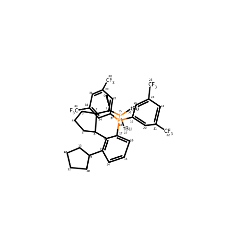 C[C@H](C1CCCC1c1c(C2CCCC2)cccc1P(c1cc(C(F)(F)F)cc(C(F)(F)F)c1)c1cc(C(F)(F)F)cc(C(F)(F)F)c1)P(C(C)(C)C)C(C)(C)C